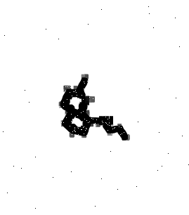 CCCNc1cccc2ccc(C)nc12